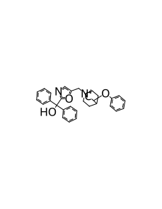 OC(c1ccccc1)(c1ccccc1)c1ncc(C[N+]23CCC(CC2)C(Oc2ccccc2)C3)o1